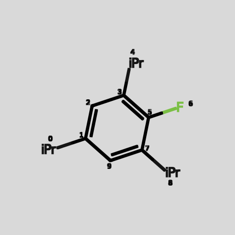 CC(C)c1cc(C(C)C)c(F)c(C(C)C)c1